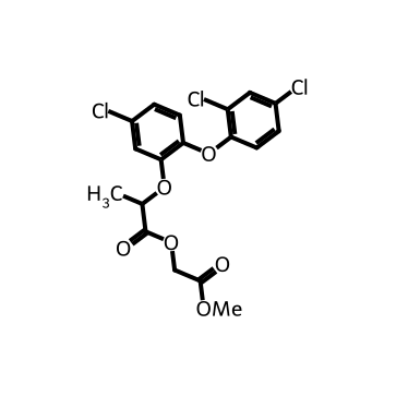 COC(=O)COC(=O)C(C)Oc1cc(Cl)ccc1Oc1ccc(Cl)cc1Cl